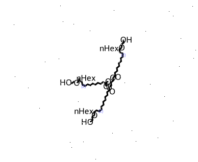 CCCCCCC(C/C=C\CCCCCCCC(=O)OCC(COC(=O)CCCCCCC/C=C\CC(CCCCCC)OCCO)OC(=O)CCCCCCC/C=C\CC(CCCCCC)OCCO)OCCO